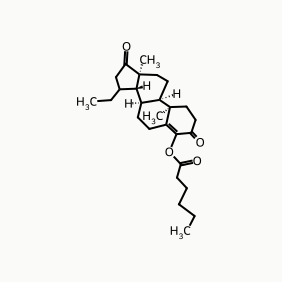 CCCCCC(=O)OC1=C2CC[C@@H]3[C@@H](CC[C@]4(C)C(=O)CC(CC)[C@@H]34)[C@@]2(C)CCC1=O